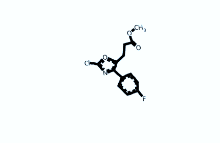 COC(=O)CCc1oc(Cl)nc1-c1ccc(F)cc1